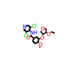 CCOC1COCC1Oc1cc(C(=O)Nc2c(Cl)cncc2Cl)ccc1OC